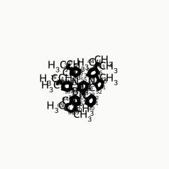 CC(C)(C)c1cccc(N2c3cc(C(C)(C)C)ccc3B3c4cc5c(cc4N(c4ccccc4)c4cc(N6c7ccc(C(C)(C)C)cc7C7(C)CCCC67C)cc2c43)C(C)(C)CCC5(C)C)c1